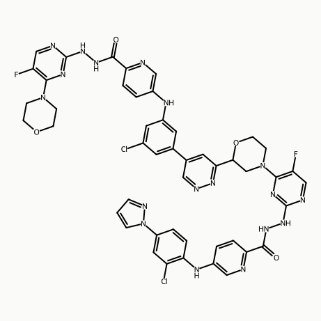 O=C(NNc1ncc(F)c(N2CCOCC2)n1)c1ccc(Nc2cc(Cl)cc(-c3cnnc(C4CN(c5nc(NNC(=O)c6ccc(Nc7ccc(-n8cccn8)cc7Cl)cn6)ncc5F)CCO4)c3)c2)cn1